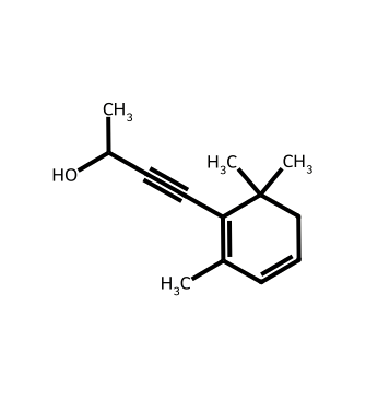 CC1=C(C#CC(C)O)C(C)(C)CC=C1